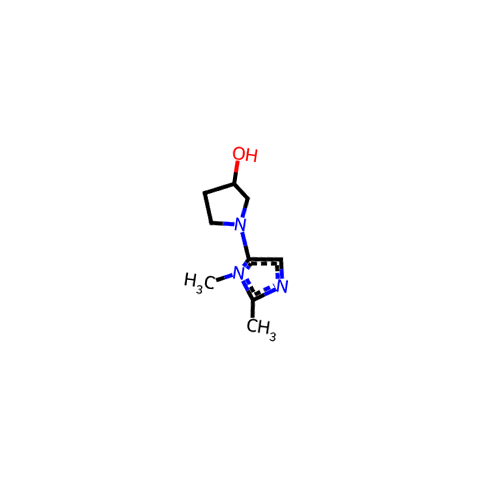 Cc1ncc(N2CCC(O)C2)n1C